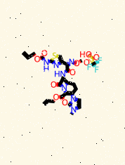 C=CCOC(=O)Nc1nc(/C(=N/OC)C(=O)N[C@H]2C(=O)N3C(C(=O)OCC=C)=C(N4C=CN(C)C4)CCC23)cs1.O=S(=O)(O)C(F)(F)F